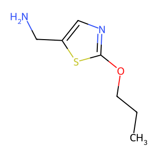 CCCOc1ncc(CN)s1